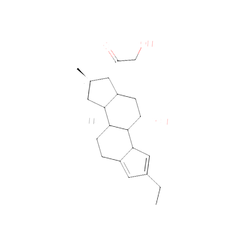 CCC1=C[C@@]2(C)C(=C1)CC[C@@H]1C2[C@@H](O)C[C@@]2(C)C1C[C@@H](C)[C@@H]2C(=O)CO